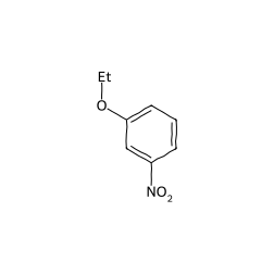 [CH2]COc1cccc([N+](=O)[O-])c1